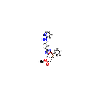 CC(C)(C)OC(=O)CC(CSc1ccccc1)Cc1nc(CCCCNc2ccccn2)no1